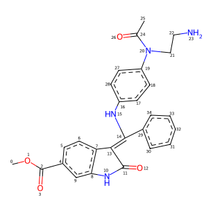 COC(=O)c1ccc2c(c1)NC(=O)C2=C(Nc1ccc(N(CCN)C(C)=O)cc1)c1ccccc1